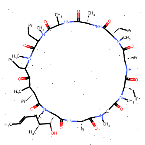 C/C=C/C[C@@H](C)C(O)[C@H]1C(=O)N[C@@H](CC)C(=O)N(C)CC(=O)N(C)[C@@H](CC(C)C)C(=O)N[C@@H](C(C)C)C(=O)N(C)[C@@H](CC(C)C)C(=O)N[C@@H](C)C(=O)NC(C)C(=O)N(C)C(CC(C)C)C(=O)N(C)C(CC(C)C)C(=O)C(C)[C@@H](C(C)C)C(=O)N1C